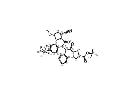 CO[C@@H]1C[C@H](C(=O)N(c2ccc(S(F)(F)(F)(F)F)cc2)C(C(=O)N2CCN(C(=O)OC(C)(C)C)C2)c2cccnc2)N(C#N)C1